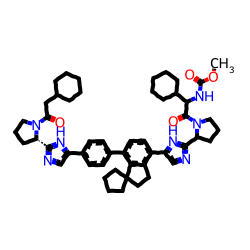 COC(=O)NC(C(=O)N1CCCC1c1ncc(-c2ccc(-c3ccc(-c4cnc([C@@H]5CCCN5C(=O)CC5CCCCC5)[nH]4)cc3)c3c2CCC32CCCC2)[nH]1)C1CCCCC1